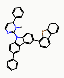 CN1C(n2c3ccc(-c4ccccc4)cc3c3cc(-c4cccc5c6c(sc45)CCC=C6)ccc32)=NC=CC1c1ccccc1